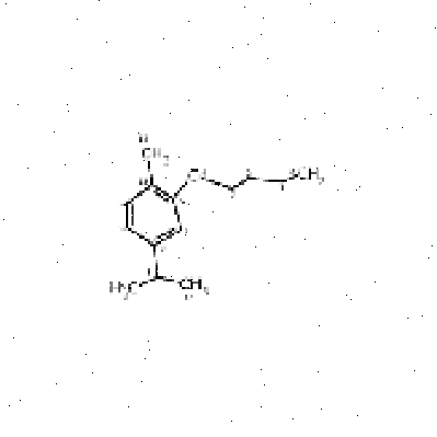 CCCCOc1cc(C(C)C)ccc1C